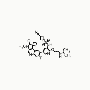 CC(C)NCCOc1ncc(-c2cc3c4c(cnc3cc2F)N(C)C(=O)C42CCC2)cc1NS(=O)(=O)N1CC(C#N)C1